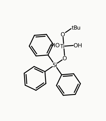 CC(C)(C)[O][Ti]([OH])([OH])[O][Si](c1ccccc1)(c1ccccc1)c1ccccc1